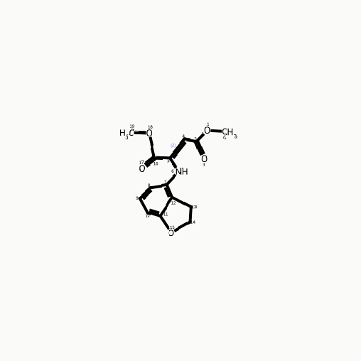 COC(=O)/C=C(\Nc1cccc2c1CCO2)C(=O)OC